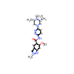 CCOc1cc2nn(C)cc2cc1C(=O)Nc1ccc(N2C[C@@H](C)N(C(=O)O)[C@@H](C)C2)nn1